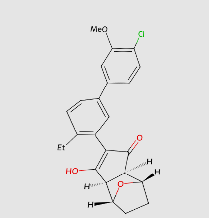 CCc1ccc(-c2ccc(Cl)c(OC)c2)cc1C1=C(O)[C@H]2[C@@H](C1=O)[C@@H]1CC[C@H]2O1